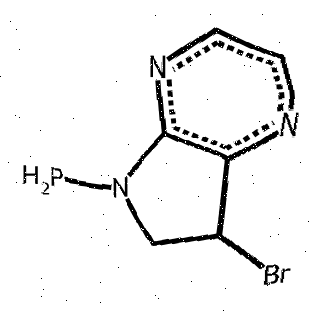 PN1CC(Br)c2nccnc21